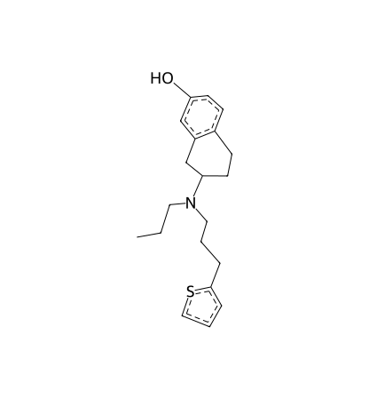 CCCN(CCCc1cccs1)C1CCc2ccc(O)cc2C1